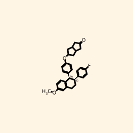 COc1ccc2c(c1)CC[C@H](c1ccc(F)cc1)[C@@H]2c1ccc(OC2CC3CC(=O)CC3C2)cc1